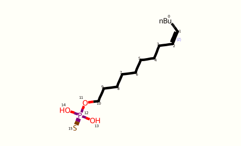 CCCC/C=C\CCCCCCCCOP(O)(O)=S